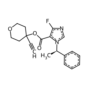 C#CC1(OC(=O)c2c(F)ncn2[C@H](C)c2ccccc2)CCOCC1